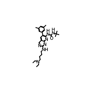 CCN(CC)CCCCNc1ncc2cc(-c3cc(C)cc(C)c3)c(NC(=O)NC(C)(C)C)nc2n1